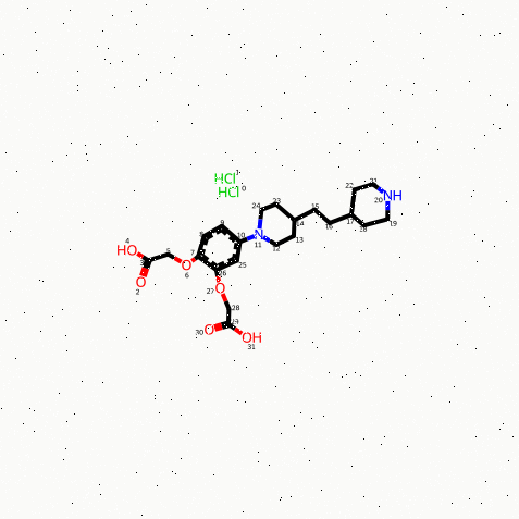 Cl.Cl.O=C(O)COc1ccc(N2CCC(CCC3CCNCC3)CC2)cc1OCC(=O)O